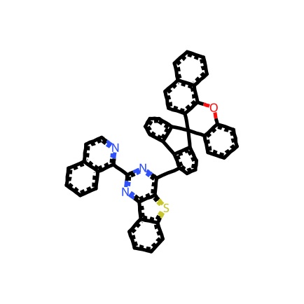 c1ccc2c(c1)Oc1c(ccc3ccccc13)C21c2ccccc2-c2c(-c3nc(-c4nccc5ccccc45)nc4c3sc3ccccc34)cccc21